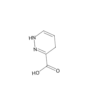 O=C(O)C1=NNC=CC1